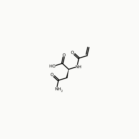 C=CC(=O)N[C@@H](CC(N)=O)C(=O)O